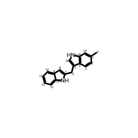 Cc1ccc2c(Cc3cc4ccccc4[nH]3)c[nH]c2c1